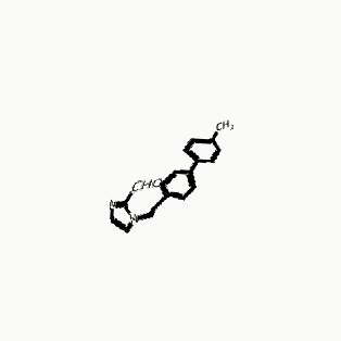 Cc1ccc(-c2ccc(Cn3ccnc3C=O)cc2)cc1